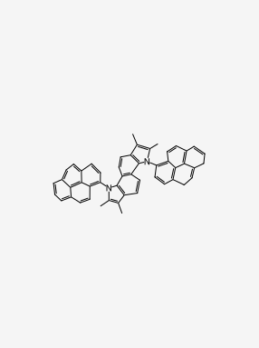 Cc1c(C)n(-c2ccc3c4c5c(ccc24)C=CCC5=CC3)c2c1ccc1c2ccc2c(C)c(C)n(-c3ccc4ccc5cccc6ccc3c4c56)c21